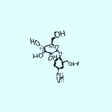 OCc1cc(O)ccc1O[C@@H]1O[C@H](CO)[C@@H](O)[C@H](O)[C@H]1O